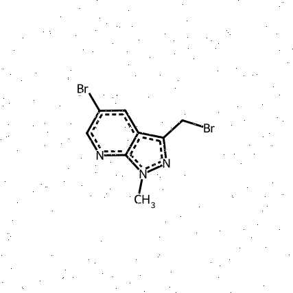 Cn1nc(CBr)c2cc(Br)cnc21